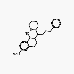 COc1ccc2c(c1)CCC(C(CCCc1ccccc1)C1SCCCS1)C2C#N